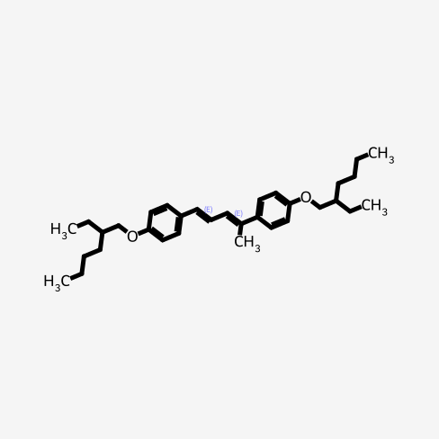 CCCCC(CC)COc1ccc(/C=C/C=C(\C)c2ccc(OCC(CC)CCCC)cc2)cc1